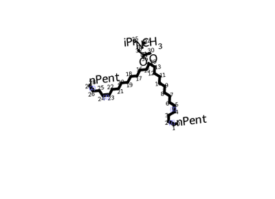 CCCCC/C=C\C/C=C\CCCCCCCCC1(CCCCCCCC/C=C\C/C=C\CCCCC)OC[C@H](CN(C)C(C)C)O1